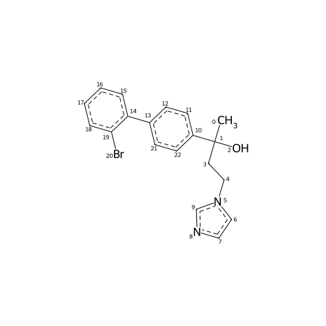 CC(O)(CCn1ccnc1)c1ccc(-c2ccccc2Br)cc1